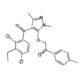 CCc1c(Cl)ccc(C(=O)c2c(C)nn(C)c2OCC(=O)c2ccc(C)cc2)c1Cl